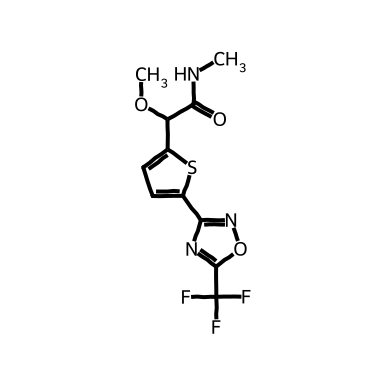 CNC(=O)C(OC)c1ccc(-c2noc(C(F)(F)F)n2)s1